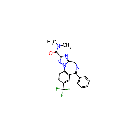 CN(C)C(=O)c1nc2n(n1)-c1ccc(C(F)(F)F)cc1C(c1ccccc1)=NC2